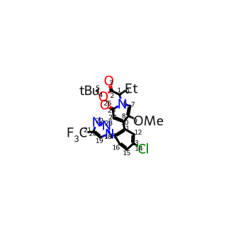 CCC(C(=O)OC(C)(C)C)n1cc(OC)c(-c2cc(Cl)ccc2-n2cc(C(F)(F)F)nn2)cc1=O